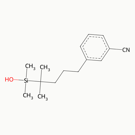 CC(C)(CCCc1cccc(C#N)c1)[Si](C)(C)O